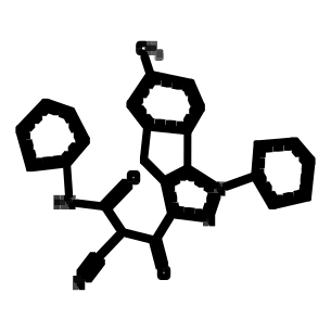 Cc1ccc2c(c1)Cc1c(C(=O)C(C#N)C(=O)Nc3ccccc3)nn(-c3ccccc3)c1-2